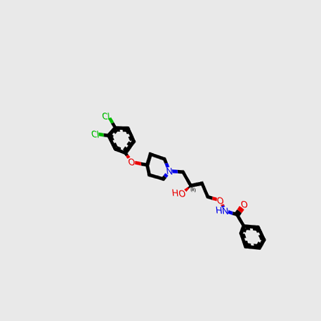 O=C(NOCC[C@@H](O)CN1CCC(Oc2ccc(Cl)c(Cl)c2)CC1)c1ccccc1